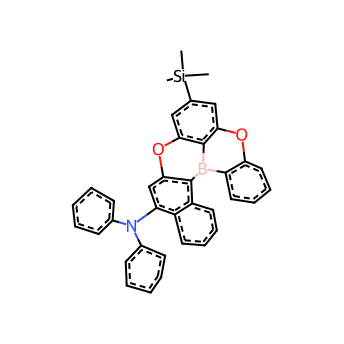 C[Si](C)(C)c1cc2c3c(c1)Oc1cc(N(c4ccccc4)c4ccccc4)c4ccccc4c1B3c1ccccc1O2